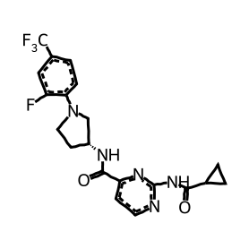 O=C(N[C@@H]1CCN(c2ccc(C(F)(F)F)cc2F)C1)c1ccnc(NC(=O)C2CC2)n1